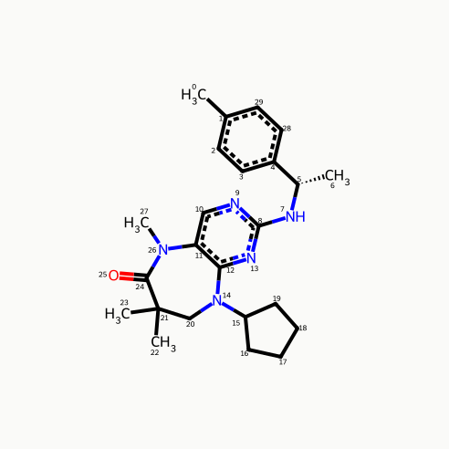 Cc1ccc([C@H](C)Nc2ncc3c(n2)N(C2CCCC2)CC(C)(C)C(=O)N3C)cc1